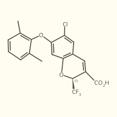 Cc1cccc(C)c1Oc1cc2c(cc1Cl)C=C(C(=O)O)[C@@H](C(F)(F)F)O2